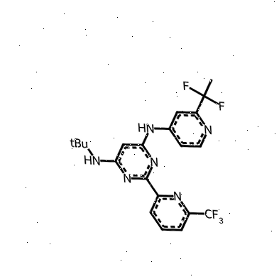 CC(C)(C)Nc1cc(Nc2ccnc(C(C)(F)F)c2)nc(-c2cccc(C(F)(F)F)n2)n1